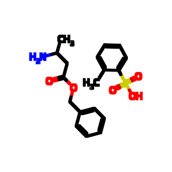 CC(N)CC(=O)OCc1ccccc1.Cc1ccccc1S(=O)(=O)O